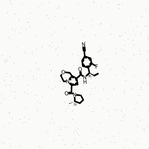 CC[C@@H](NC(=O)c1cc(C(=O)N2CCC[C@@H]2C)n2c1COCC2)c1ccc(C#N)cc1F